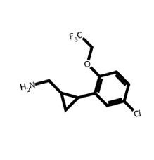 NCC1CC1c1cc(Cl)ccc1OCC(F)(F)F